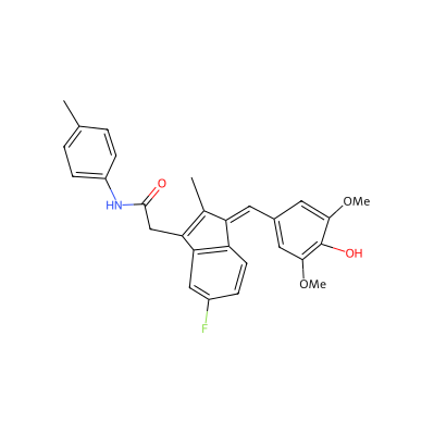 COc1cc(/C=C2/C(C)=C(CC(=O)Nc3ccc(C)cc3)c3cc(F)ccc32)cc(OC)c1O